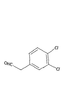 O=CCc1ccc(Cl)c(Cl)c1